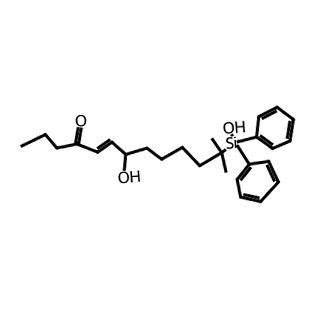 CCCC(=O)/C=C/C(O)CCCCC(C)(C)[Si](O)(c1ccccc1)c1ccccc1